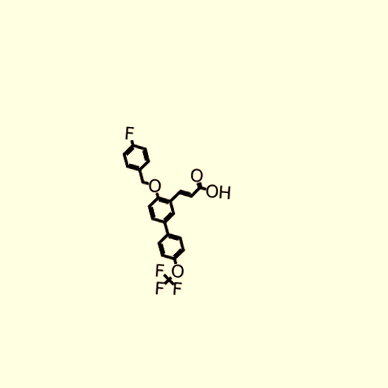 O=C(O)C=Cc1cc(-c2ccc(OC(F)(F)F)cc2)ccc1OCc1ccc(F)cc1